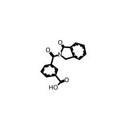 O=C(O)c1cccc(C(=O)N2Cc3ccccc3C2=O)c1